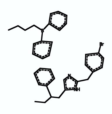 CCC(Cc1cnc(Cc2ccc(Br)cc2)[nH]1)c1ccccc1.CCCCB(c1ccccc1)c1ccccc1